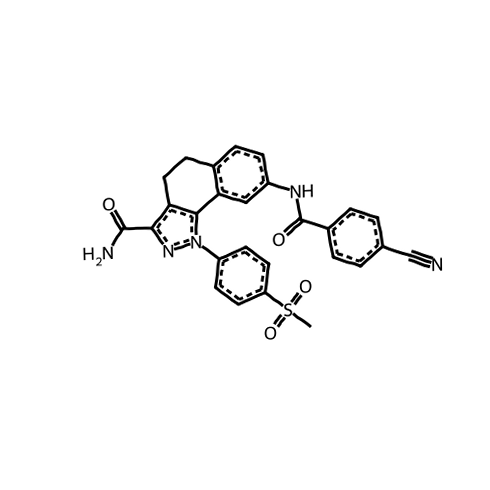 CS(=O)(=O)c1ccc(-n2nc(C(N)=O)c3c2-c2cc(NC(=O)c4ccc(C#N)cc4)ccc2CC3)cc1